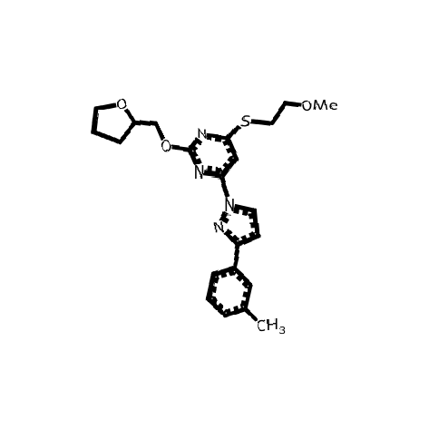 COCCSc1cc(-n2ccc(-c3cccc(C)c3)n2)nc(OCC2CCCO2)n1